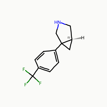 FC(F)(F)c1ccc(C23CNC[C@H]2C3)cc1